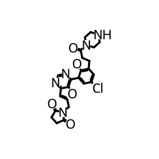 O=C(C1Cc2cc(Cl)cc(-c3ncnc4cc(CN5C(=O)CCC5=O)oc34)c2O1)N1CCNCC1